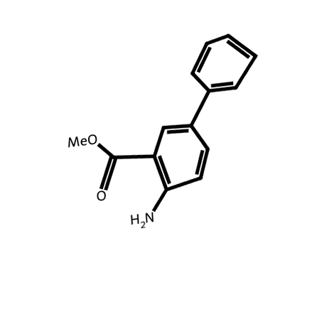 COC(=O)c1cc(-c2ccccc2)ccc1N